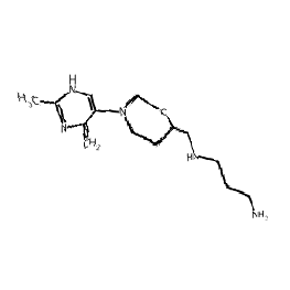 C=C1N=C(C)NC=C1N1CCC(CNCCCN)CC1